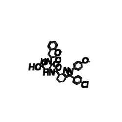 COC(=O)C(Cc1ccccc1)NC(=O)C(CC(=O)O)NC(=O)C1CCCc2c1nn(-c1ccc(OC)cc1)c2-c1ccc(Cl)cc1